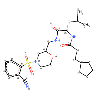 CC(C)C[C@H](NC(=O)CCC1CCCC1)C(=O)NCC1CN(S(=O)(=O)c2ccccc2C#N)CCO1